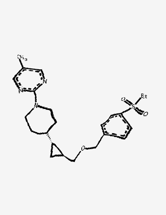 CCS(=O)(=O)c1ccc(COC[C@H]2C[C@@H]2C2CCN(c3ncc(C)cn3)CC2)cc1